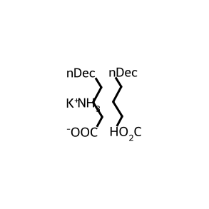 CCCCCCCCCCCCCC(=O)O.CCCCCCCCCCCCCC(=O)[O-].N.[K+]